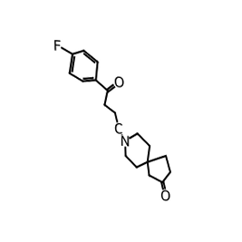 O=C1CCC2(CCN(CCCC(=O)c3ccc(F)cc3)CC2)C1